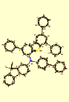 CC1(C)c2ccccc2-c2ccc(N(c3ccc(-c4ccccc4)cc3)c3cc(-c4ccccc4)cc4c3sc3c(-c5ccccc5)cc(-c5ccccc5)cc34)cc21